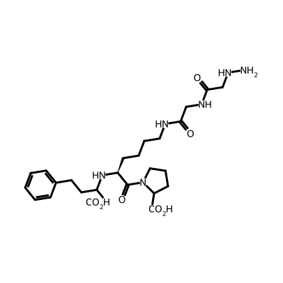 NNCC(=O)NCC(=O)NCCCC[C@H](NC(CCc1ccccc1)C(=O)O)C(=O)N1CCCC1C(=O)O